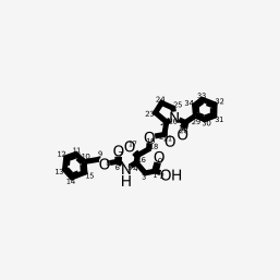 O=C(O)CC(NC(=O)OCc1ccccc1)C(=O)COC(=O)C1CCCN1C(=O)c1ccccc1